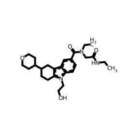 CCNC(=O)CN(CC)C(=O)c1ccc2c(c1)c1c(n2CCO)CCC(C2CCOCC2)C1